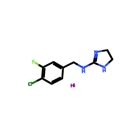 Fc1cc(CNC2=NCCN2)ccc1Cl.I